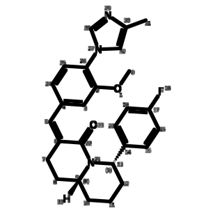 COc1cc(C=C2CC[C@H]3CCC[C@@H](c4ccc(F)cc4)N3C2=O)ccc1-n1cnc(C)c1